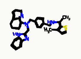 Cc1ccsc1C(C)NCc1ccc(CN(Cc2nc3ccccc3[nH]2)C2CCCc3cccnc32)cc1